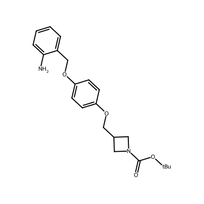 CC(C)(C)OC(=O)N1CC(COc2ccc(OCc3ccccc3N)cc2)C1